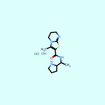 CC1=C(C(=O)NC(C)C2CCCN2)SC2=NCCCN21.Cl.Cl